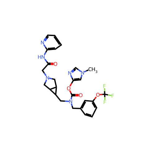 Cn1cnc(OC(=O)N(Cc2cccc(OC(F)(F)F)c2)CC2C3CN(CC(=O)Nc4ccccn4)CC32)c1